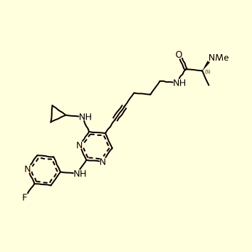 CN[C@@H](C)C(=O)NCCCC#Cc1cnc(Nc2ccnc(F)c2)nc1NC1CC1